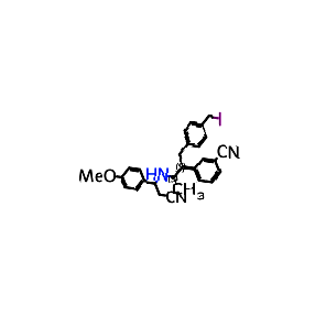 COc1ccc(C(CC#N)N[C@@H](C)[C@@H](Cc2ccc(CI)cc2)c2cccc(C#N)c2)cc1